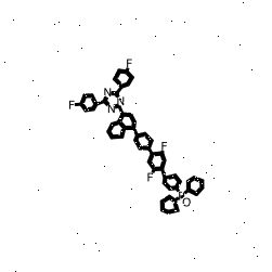 O=P(c1ccccc1)(c1ccccc1)c1ccc(-c2cc(F)c(-c3ccc(-c4ccc(-c5nc(-c6ccc(F)cc6)nc(-c6ccc(F)cc6)n5)c5ccccc45)cc3)cc2F)cc1